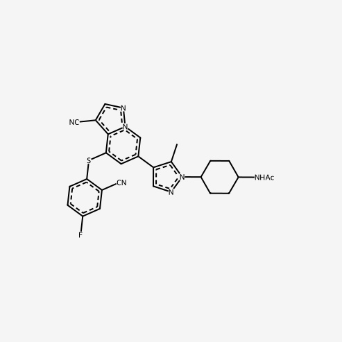 CC(=O)NC1CCC(n2ncc(-c3cc(Sc4ccc(F)cc4C#N)c4c(C#N)cnn4c3)c2C)CC1